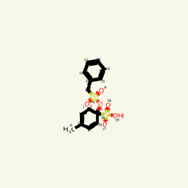 CC1=CCC(OS(=O)(=O)Cc2ccccc2)(S(=O)(=O)O)C=C1